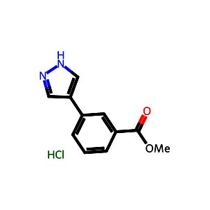 COC(=O)c1cccc(-c2cn[nH]c2)c1.Cl